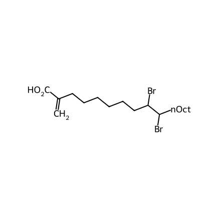 C=C(CCCCCCC(Br)C(Br)CCCCCCCC)C(=O)O